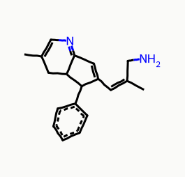 CC1=CN=C2C=C(/C=C(/C)CN)C(c3ccccc3)C2C1